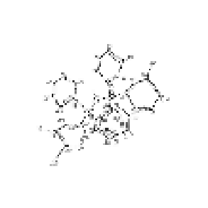 Cc1ccc([Si](O[Si](c2ccccc2)(c2ccccc2)c2ccc(C)c(C)c2)(c2ccccc2)c2ccccc2)cc1C